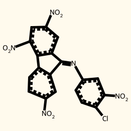 O=[N+]([O-])c1ccc2c(c1)C(=Nc1ccc(Cl)c([N+](=O)[O-])c1)c1cc([N+](=O)[O-])cc([N+](=O)[O-])c1-2